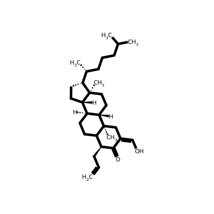 C=CC[C@@H]1C(=O)C(=CO)C[C@@]2(C)C1CC[C@H]1[C@@H]3CC[C@H]([C@H](C)CCCC(C)C)[C@@]3(C)CC[C@@H]12